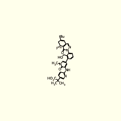 Cn1cc(-c2cccc(-n3ncc4c(c3=O)[C@@H](F)CC(C(C)(C)C)=C4)c2CO)cc(Nc2ccc(C(C)(C)C(=O)O)cn2)c1=O